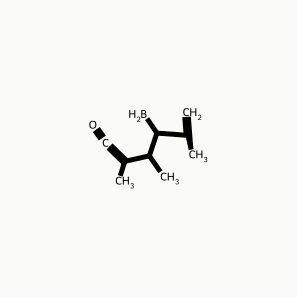 BC(C(=C)C)C(C)C(C)=C=O